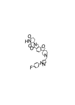 O=C1CCC(N2Cc3c(ccc4c3OCC43CCN(Cc4cnn(-c5ccc(F)cc5)c4)CC3)C2=O)C(=O)N1